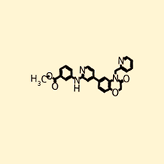 COC(=O)c1cccc(Nc2cc(-c3ccc4c(c3)N(Cc3ccccn3)C(=O)CO4)ccn2)c1